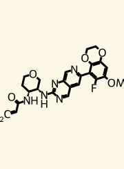 C=CC(=O)N[C@H]1CCOC[C@H]1Nc1ncc2cc(-c3c(F)c(OC)cc4c3OCCO4)ncc2n1